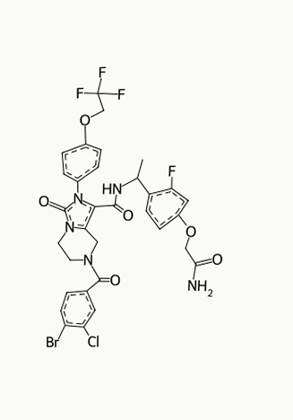 CC(NC(=O)c1c2n(c(=O)n1-c1ccc(OCC(F)(F)F)cc1)CCN(C(=O)c1ccc(Br)c(Cl)c1)C2)c1ccc(OCC(N)=O)cc1F